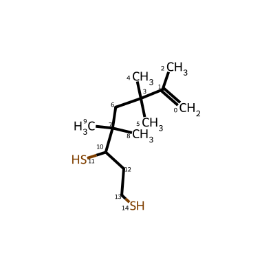 C=C(C)C(C)(C)CC(C)(C)C(S)CCS